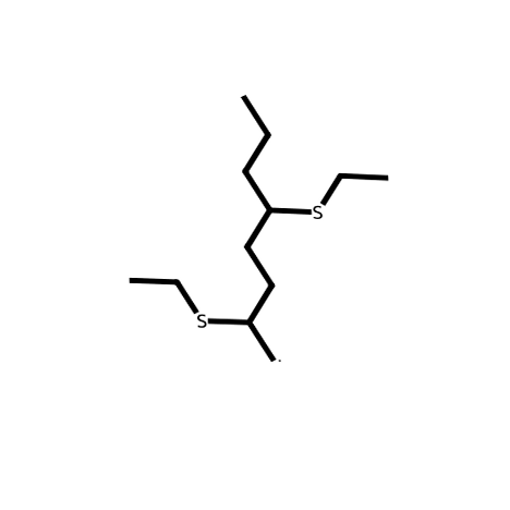 [CH2]C(CCC(CCC)SCC)SCC